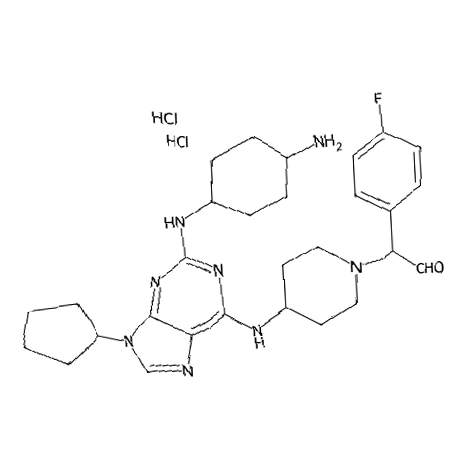 Cl.Cl.NC1CCC(Nc2nc(NC3CCN(C(C=O)c4ccc(F)cc4)CC3)c3ncn(C4CCCC4)c3n2)CC1